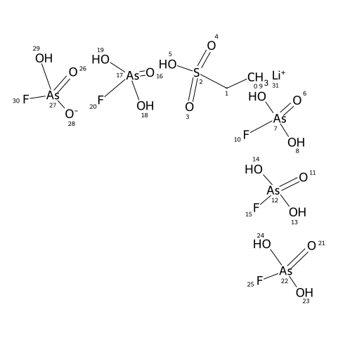 CCS(=O)(=O)O.O=[As](O)(O)F.O=[As](O)(O)F.O=[As](O)(O)F.O=[As](O)(O)F.O=[As]([O-])(O)F.[Li+]